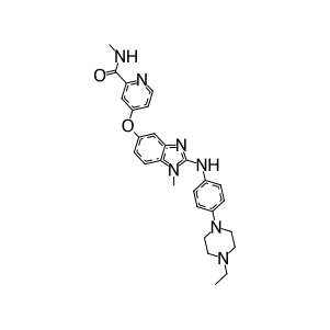 CCN1CCN(c2ccc(Nc3nc4cc(Oc5ccnc(C(=O)NC)c5)ccc4n3C)cc2)CC1